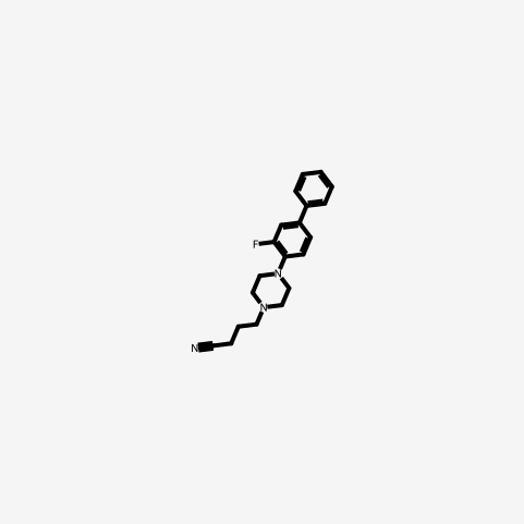 N#CCCCN1CCN(c2ccc(-c3ccccc3)cc2F)CC1